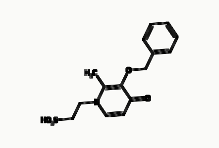 Cc1c(OCc2ccccc2)c(=O)ccn1CCS(=O)(=O)O